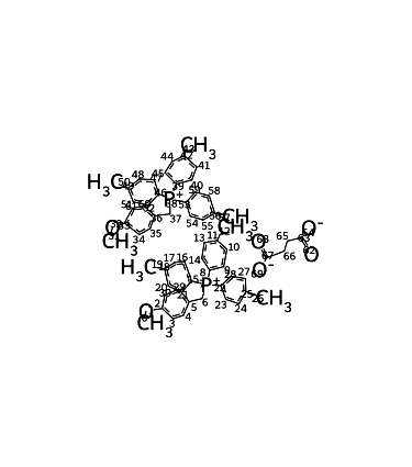 COc1ccc(C[P+](c2ccc(C)cc2)(c2ccc(C)cc2)c2ccc(C)cc2)cc1.COc1ccc(C[P+](c2ccc(C)cc2)(c2ccc(C)cc2)c2ccc(C)cc2)cc1.O=C([O-])CCC(=O)[O-]